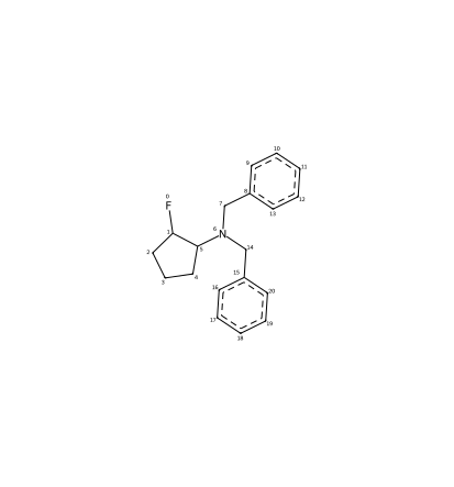 FC1CCCC1N(Cc1ccccc1)Cc1ccccc1